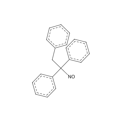 O=NC(Cc1ccccc1)(c1ccccc1)c1ccccc1